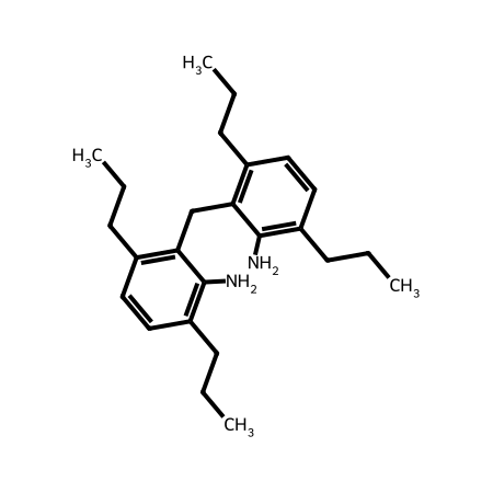 CCCc1ccc(CCC)c(Cc2c(CCC)ccc(CCC)c2N)c1N